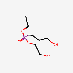 CCOP(=O)(CCCO)OCCO